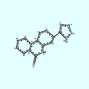 O=c1[nH]c2cc(-c3nnn[nH]3)ccc2c2cnccc12